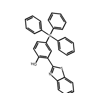 Oc1ccc([Si](c2ccccc2)(c2ccccc2)c2ccccc2)cc1-c1nc2ccccc2s1